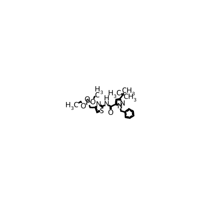 CCOP(=O)(Cc1csc(NC(=O)c2cc(C(C)(C)C)nn2Cc2ccccc2)n1)OCC